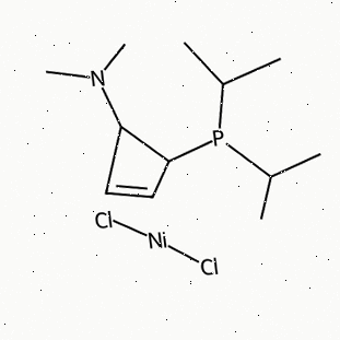 CC(C)P(C(C)C)C1C=CC1N(C)C.[Cl][Ni][Cl]